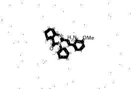 COc1cccc(C=Cc2nc3ccccc3c(=O)n2-c2ccccc2)c1N